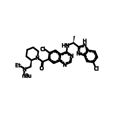 CCCCN(CC)C[C@H]1CCCCN1C(=O)c1cc2ncnc(N[C@H](C)c3nc4cc(Cl)ccc4[nH]3)c2cc1Cl